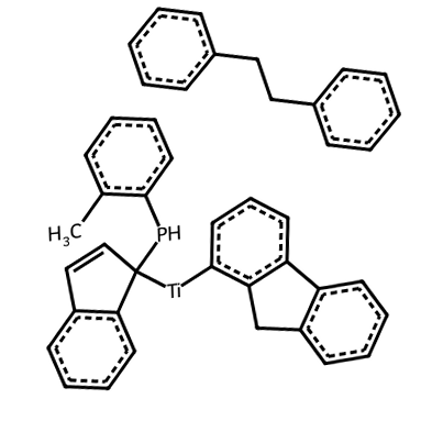 Cc1ccccc1P[C]1([Ti][c]2cccc3c2Cc2ccccc2-3)C=Cc2ccccc21.c1ccc(CCc2ccccc2)cc1